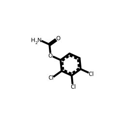 NC(=O)Oc1ccc(Cl)c(Cl)c1Cl